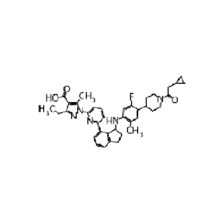 CCc1nn(-c2cccc(-c3cccc4c3C(Nc3cc(F)c(C5CCN(C(=O)CC6CC6)CC5)cc3C)CC4)n2)c(C)c1C(=O)O